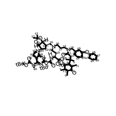 CC1=C(C)C(=O)C(C(C)(C)CC(=O)N(CCCN(CC[C@H](NC(=O)OC(C)(C)C)C(=O)OC(C)(C)C)C[C@H]2C[C@@H](n3ccc4c(N(C)C(=O)OC(C)(C)C)ncnc43)[C@@H]3OC(C)(C)O[C@H]23)Cc2cccc(Oc3ccccc3)c2)=C(C)C1=O